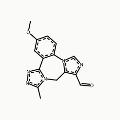 COc1ccc2c(c1)-c1nnc(C)n1Cc1c([C]=O)ncn1-2